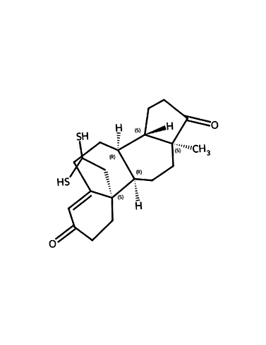 C[C@]12CC[C@@H]3[C@@H](CCC4=CC(=O)CC[C@@]43CC(S)S)[C@@H]1CCC2=O